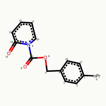 CCCc1ccc(COC(=O)n2ccccc2=O)cc1